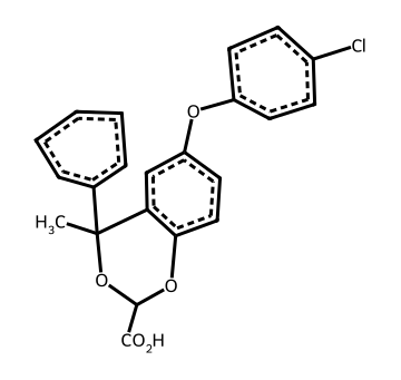 CC1(c2ccccc2)OC(C(=O)O)Oc2ccc(Oc3ccc(Cl)cc3)cc21